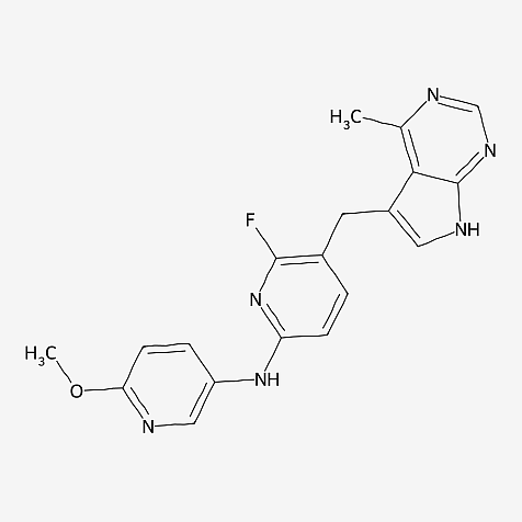 COc1ccc(Nc2ccc(Cc3c[nH]c4ncnc(C)c34)c(F)n2)cn1